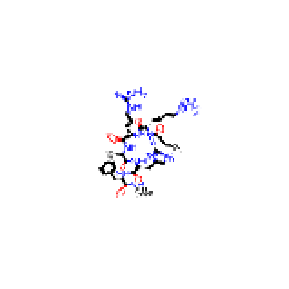 CSNC(=O)[C@H](Cc1ccccc1)NC(=O)[C@H](Cc1c[nH]cn1)NC(=O)C(NC(=O)[C@H](CCCNC(=N)N)NC(=O)[C@H](CCCCN)NC(=O)CC(C)C)C(C)C